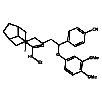 CCNC(=O)N1CC2CCC(C1)C2N(C)CCCC(Oc1ccc(OC)c(OC)c1)c1ccc(C#N)cc1